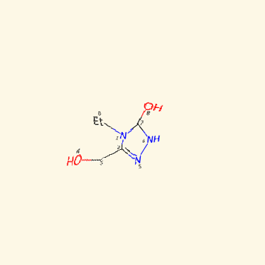 CCN1C(CO)=NNC1O